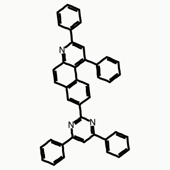 c1ccc(-c2cc(-c3ccccc3)nc(-c3ccc4c(ccc5nc(-c6ccccc6)cc(-c6ccccc6)c54)c3)n2)cc1